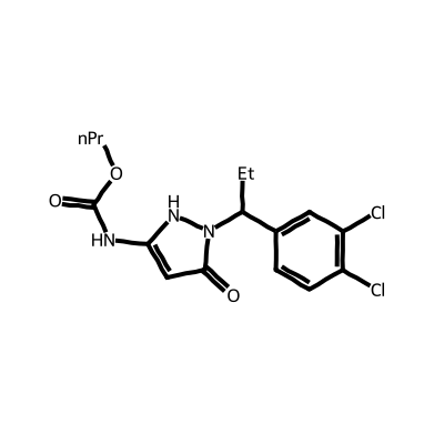 CCCOC(=O)Nc1cc(=O)n(C(CC)c2ccc(Cl)c(Cl)c2)[nH]1